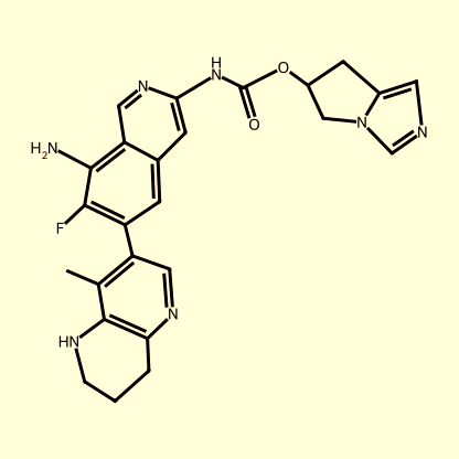 Cc1c(-c2cc3cc(NC(=O)OC4Cc5cncn5C4)ncc3c(N)c2F)cnc2c1NCCC2